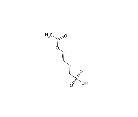 CC(=O)OC=CCCS(=O)(=O)O